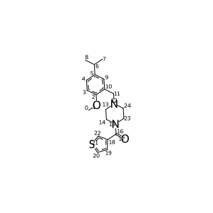 COc1ccc(C(C)C)cc1CN1CCN(C(=O)c2ccsc2)CC1